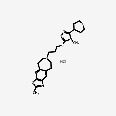 Cc1nc2cc3c(cc2o1)CCN(CCCSc1nnc(C2CCOCC2)n1C)CC3.Cl